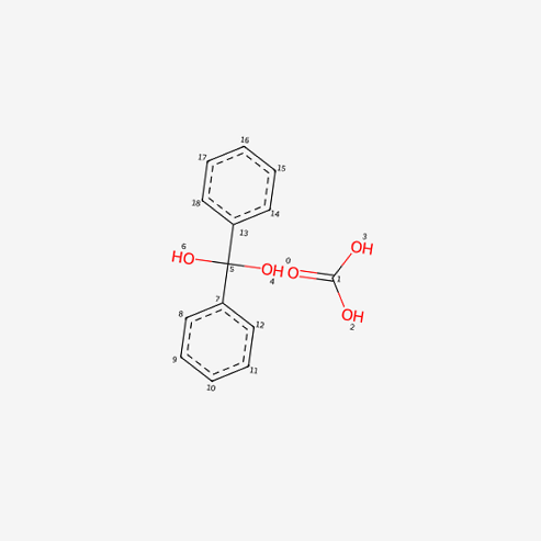 O=C(O)O.OC(O)(c1ccccc1)c1ccccc1